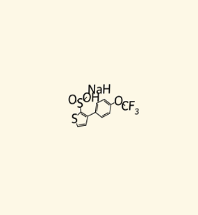 O=S(O)c1sccc1-c1ccc(OC(F)(F)F)cc1.[NaH]